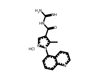 Cc1c(C(=O)NC(=N)N)cnn1-c1cccc2ncccc12.Cl